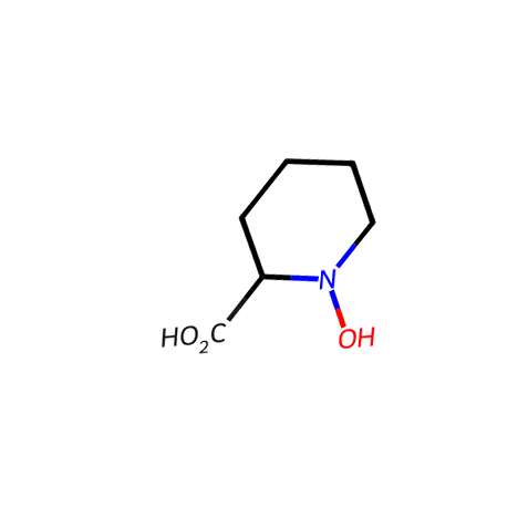 O=C(O)C1CCCCN1O